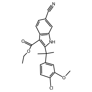 CCOC(=O)c1c(C(C)(C)c2ccc(Cl)c(OC)c2)[nH]c2cc(C#N)ccc12